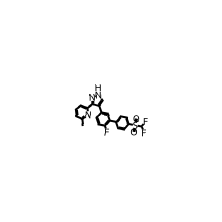 Cc1cccc(-c2n[nH]cc2-c2ccc(F)c(-c3ccc(S(=O)(=O)C(F)F)cc3)c2)n1